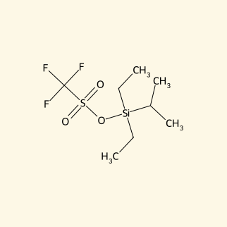 CC[Si](CC)(OS(=O)(=O)C(F)(F)F)C(C)C